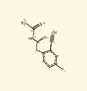 C#Cc1cc(F)ccc1CC(=O)NC(C)=S